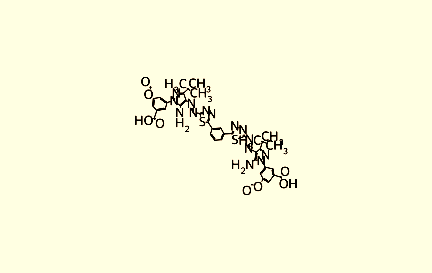 CC(C)(C)c1nn(-c2cc(OC=O)cc(C(=O)O)c2)c(N)c1N=Nc1nnc(-c2cccc(-c3nnc(N=Nc4c(C(C)(C)C)nn(-c5cc(OC=O)cc(C(=O)O)c5)c4N)s3)c2)s1